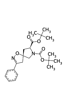 CC(C)(C)OC(=O)[C@@H]1C[C@]2(CC(c3ccccc3)=NO2)CN1C(=O)OC(C)(C)C